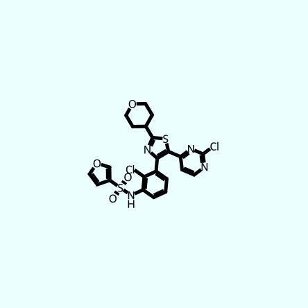 O=S(=O)(Nc1cccc(-c2nc(C3CCOCC3)sc2-c2ccnc(Cl)n2)c1Cl)c1ccoc1